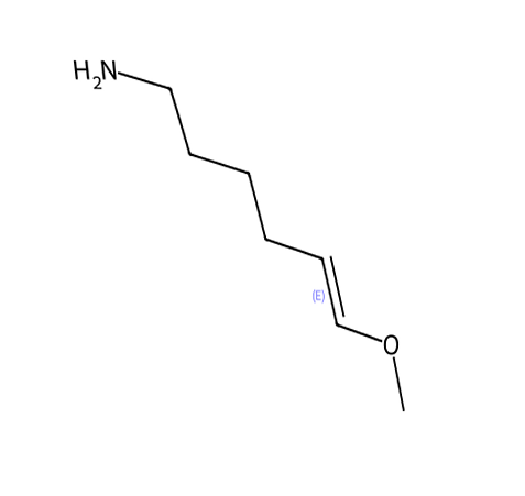 CO/C=C/CCCCN